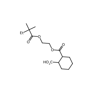 CCC(C)(C)C(=O)OCCOC(=O)C1CCCCC1C(=O)O